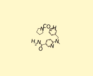 CN(Cc1ccccc1)c1ccc(C(N)=O)cn1.O=C(O)N1CCCC1